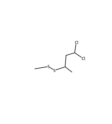 CSSC(C)CC(Cl)Cl